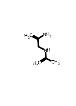 C=C(N)CNC(=C)C